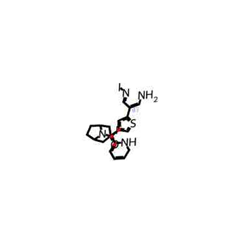 N/C=C(\C=NI)c1cc(C(=O)N2C3CCC2CC(F)(C2=CC=CCN2)C3)cs1